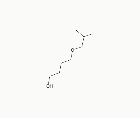 CC(C)COCCCCO